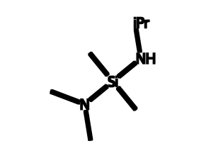 CC(C)N[Si](C)(C)N(C)C